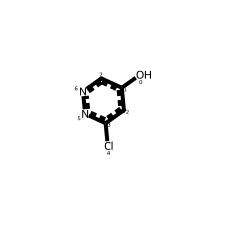 Oc1[c]c(Cl)nnc1